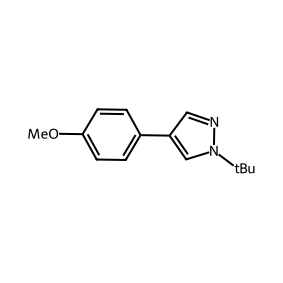 COc1ccc(-c2cnn(C(C)(C)C)c2)cc1